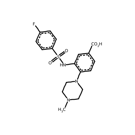 CN1CCN(c2ccc(C(=O)O)cc2NS(=O)(=O)c2ccc(F)cc2)CC1